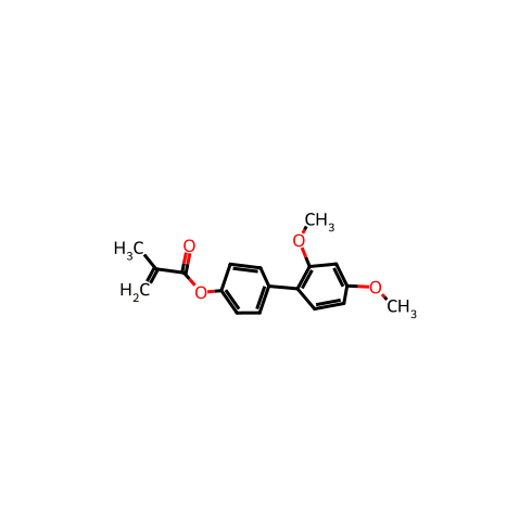 C=C(C)C(=O)Oc1ccc(-c2ccc(OC)cc2OC)cc1